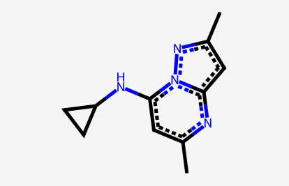 Cc1cc(NC2CC2)n2nc(C)cc2n1